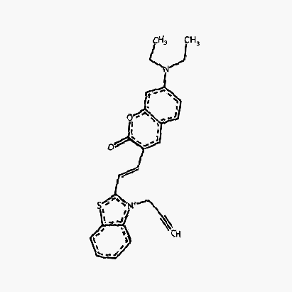 C#CC[n+]1c(/C=C/c2cc3ccc(N(CC)CC)cc3oc2=O)sc2ccccc21